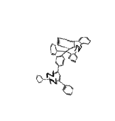 c1ccc(-c2cc(-c3ccc(C4(c5ccccc5)c5ccccc5-n5c6ccccc6c6cccc4c65)cc3)nc(-c3ccccc3)n2)cc1